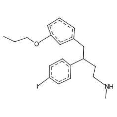 CCCOc1cccc(CC(CCNC)c2ccc(I)cc2)c1